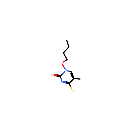 CCCCOn1cc(C)c(S)nc1=O